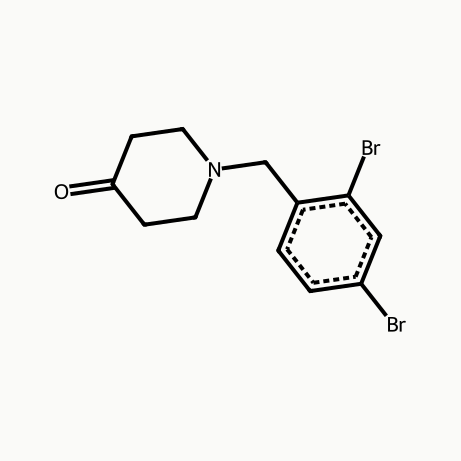 O=C1CCN(Cc2ccc(Br)cc2Br)CC1